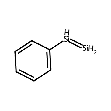 [SiH2]=[SiH]c1ccccc1